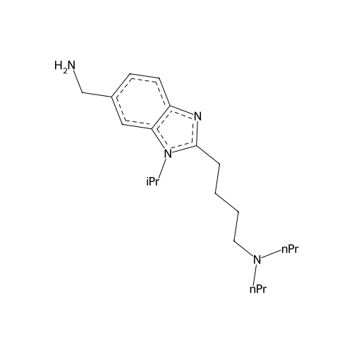 CCCN(CCC)CCCCc1nc2ccc(CN)cc2n1C(C)C